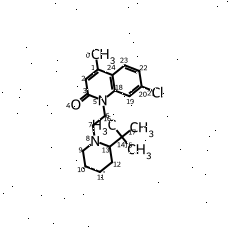 Cc1cc(=O)n(CCN2CC[CH]CC2C(C)(C)C)c2cc(Cl)ccc12